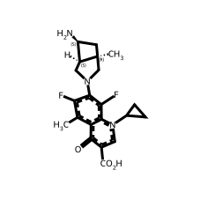 Cc1c(F)c(N2C[C@H]3[C@@H](N)C[C@@]3(C)C2)c(F)c2c1c(=O)c(C(=O)O)cn2C1CC1